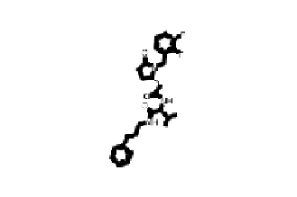 CC(C)C(NC(=O)C[C@@H]1CCC(=O)N1Cc1cccc(F)c1F)C(=O)NCCCc1ccccc1